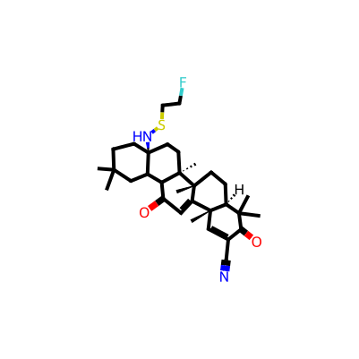 CC1(C)CC[C@]2(NSCCF)CC[C@]3(C)C(C(=O)C=C4[C@@]5(C)C=C(C#N)C(=O)C(C)(C)[C@@H]5CC[C@]43C)C2C1